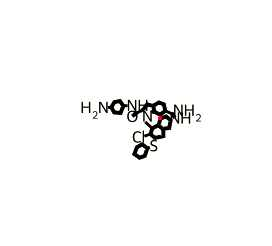 N=C(N)c1ccc2cc(C(=O)Nc3ccc(N)cc3)n(Cc3c(Cl)c(Sc4ccccc4)cc4ccccc34)c2c1